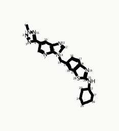 Cn1nnc(-c2cnc3c(c2)ncn3Cc2ccc3nc(NC4CCCCC4)sc3c2)n1